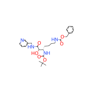 CC(C)(C)OC(=O)N[C@@H](CCCCNC(=O)OCc1ccccc1)C(O)C(=O)NCc1cccnc1